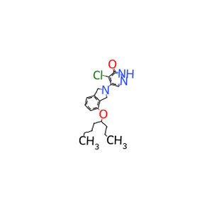 CCCCC(CCC)Oc1cccc2c1CN(c1cn[nH]c(=O)c1Cl)C2